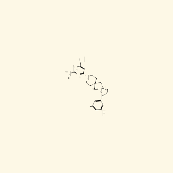 CN(C)c1nc(Cl)cc(N2CCC3(CC2)CN2CC[C@@H](c4cc(F)cc(F)c4)N2C3=O)n1